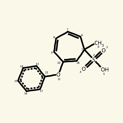 CC1(S(=O)(=O)O)C=CC=CC(Oc2ccccc2)=C1